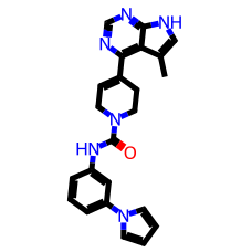 Cc1c[nH]c2ncnc(C3=CCN(C(=O)Nc4cccc(-n5cccc5)c4)CC3)c12